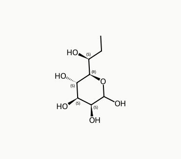 CC[C@H](O)[C@H]1OC(O)[C@@H](O)[C@@H](O)[C@@H]1O